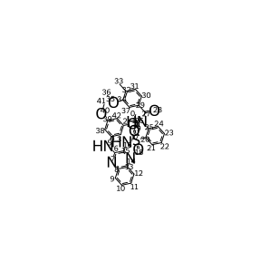 COc1cc(Nc2nc3ccccc3nc2NS(=O)(=O)c2ccccc2NC(=O)c2ccc(C)c(OC)c2)cc(OC)c1